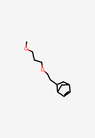 COCCCOCCC1CC2C=CC1C2